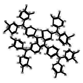 CC1=CCC(N(c2ccc(-c3c4c(c(C5=CC=C(N(c6ccc(C)c(C)c6)c6ccc(C)c(C)c6)CC5)c5cc(N(c6ccc(C)c(C)c6)c6ccc(C)c(C)c6)ccc35)=CCC(N(c3ccc(C)c(C)c3)c3ccc(C)c(C)c3)C=4)cc2)c2ccc(C)c(C)c2)C=C1C